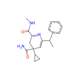 CNC(=O)C1=NC(C(C)c2ccccc2)=CC(C(N)=O)(C2CC2)C1